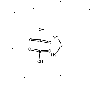 CCCSS.O=S(=O)(O)S(=O)(=O)O